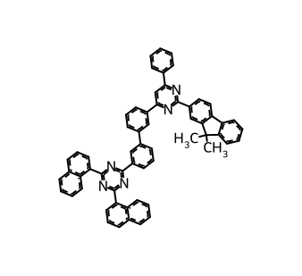 CC1(C)c2ccccc2-c2ccc(-c3nc(-c4ccccc4)cc(-c4cccc(-c5cccc(-c6nc(-c7cccc8ccccc78)nc(-c7cccc8ccccc78)n6)c5)c4)n3)cc21